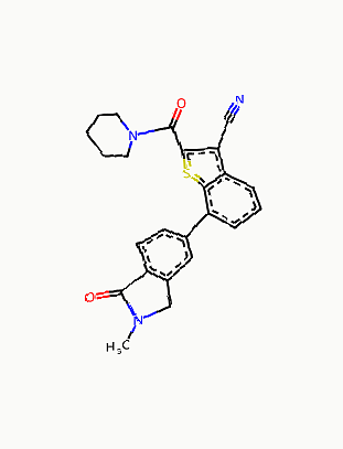 CN1Cc2cc(-c3cccc4c(C#N)c(C(=O)N5CCCCC5)sc34)ccc2C1=O